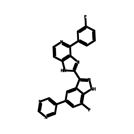 Fc1cccc(-c2nccc3[nH]c(-c4n[nH]c5c(F)cc(-c6cncnc6)cc45)nc23)c1